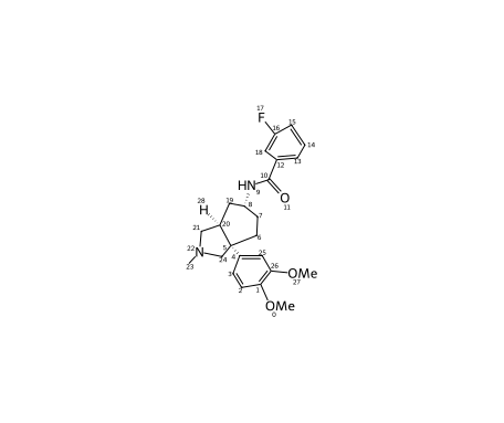 COc1ccc([C@@]23CC[C@@H](NC(=O)c4cccc(F)c4)C[C@@H]2CN(C)C3)cc1OC